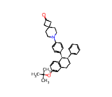 CC(C)(C)Oc1ccc2c(c1)CC[C@H](c1ccccc1)[C@@H]2c1ccc(N2CCC3(CC2)CC(=O)C3)cc1